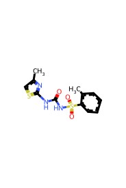 Cc1csc(NC(=O)NS(=O)(=O)c2ccccc2C)n1